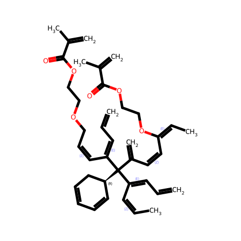 C=C/C=C(\C=C/C)C(C(=C)/C=C\C(=C/C)OCCOC(=O)C(=C)C)(C(/C=C\COCCOC(=O)C(=C)C)=C/C=C)[C@H]1C=CC=CC1